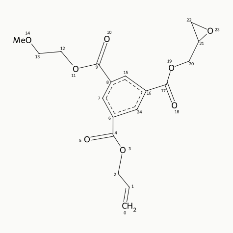 C=CCOC(=O)c1cc(C(=O)OCCOC)cc(C(=O)OCC2CO2)c1